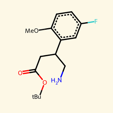 COc1ccc(F)cc1C(CN)CC(=O)OC(C)(C)C